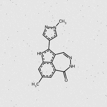 Cc1cc2c3c(c(-c4cnn(C)c4)[nH]c3c1)C=NNC2=O